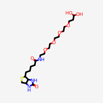 O=C(CCCCC1SCC2NC(=O)NC21)NCCOCCOCCOCCOCCC(O)O